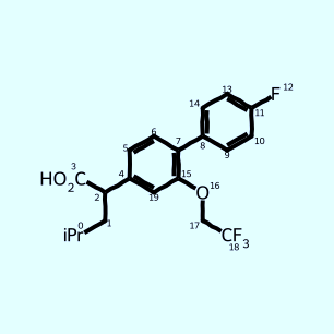 CC(C)CC(C(=O)O)c1ccc(-c2ccc(F)cc2)c(OCC(F)(F)F)c1